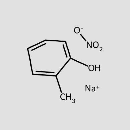 Cc1ccccc1O.O=[N+]([O-])[O-].[Na+]